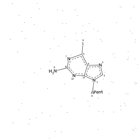 CCCCCn1cnc2c(I)nc(N)nc21